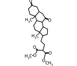 COC(=O)C(CCC1CCC2C3C(=O)CC4CC(=O)CCC4(C)C3CCC12C)C(=O)OC